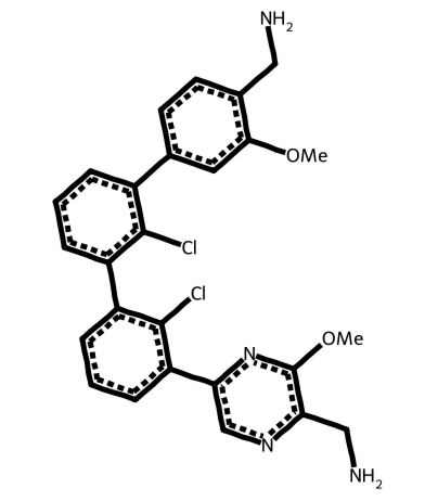 COc1cc(-c2cccc(-c3cccc(-c4cnc(CN)c(OC)n4)c3Cl)c2Cl)ccc1CN